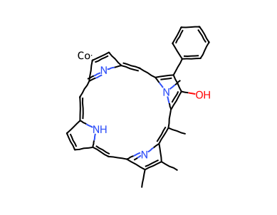 CC1=C(C)c2nc1cc1ccc(cc3nc(cc4c(-c5ccccc5)c(O)c(c2C)n4C)C=C3)[nH]1.[Co]